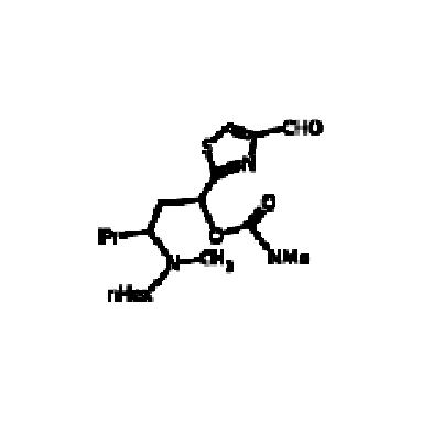 CCCCCCN(C)C(CC(OC(=O)NC)c1nc(C=O)cs1)C(C)C